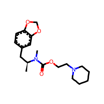 C[C@@H](Cc1ccc2c(c1)OCO2)N(C)C(=O)OCCN1CCCCC1